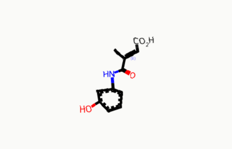 C/C(=C\C(=O)O)C(=O)Nc1cccc(O)c1